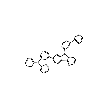 c1ccc(-c2cccc(-n3c4cc(-c5cccc6c5c5ccccc5n6-c5ccccc5)ccc4c4ncccc43)c2)cc1